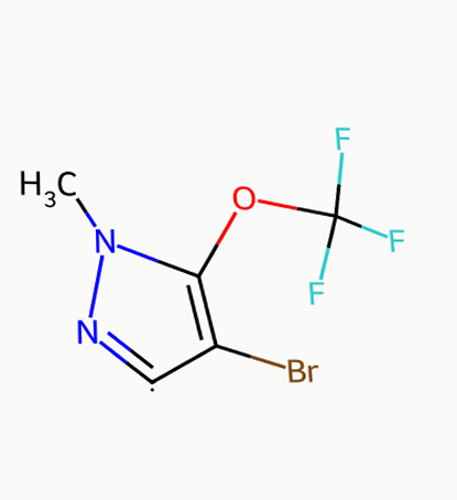 Cn1n[c]c(Br)c1OC(F)(F)F